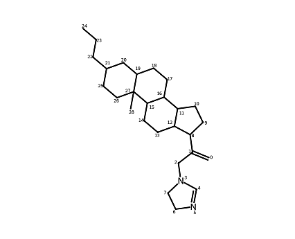 C=C(CN1C=NCC1)C1CCC2C1CCC1C2CCC2CC(CCC)CCC21C